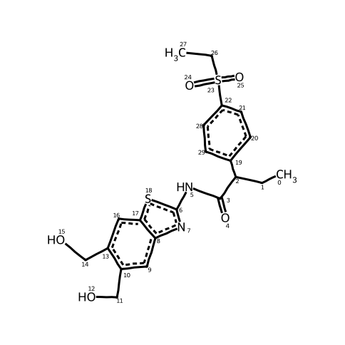 CCC(C(=O)Nc1nc2cc(CO)c(CO)cc2s1)c1ccc(S(=O)(=O)CC)cc1